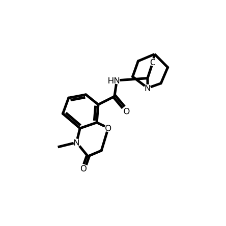 CN1C(=O)COc2c(C(=O)NC3CC4CCN3CC4)cccc21